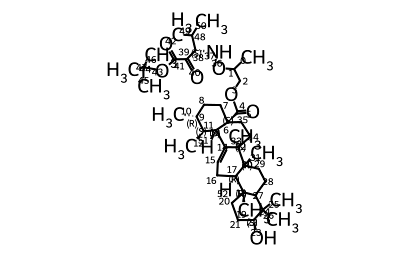 CC(COC(=O)[C@]12CC[C@@H](C)[C@H](C)[C@H]1C1=CC[C@@H]3[C@@]4(C)CC[C@H](O)C(C)(C)C4CC[C@@]3(C)[C@]1(C)CC2)ON[C@H](C(=O)C(=O)OC(C)(C)C)C(C)C